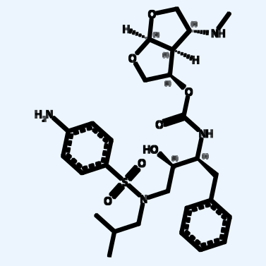 CN[C@H]1CO[C@@H]2OC[C@H](OC(=O)N[C@@H](Cc3ccccc3)[C@H](O)CN(CC(C)C)S(=O)(=O)c3ccc(N)cc3)[C@@H]21